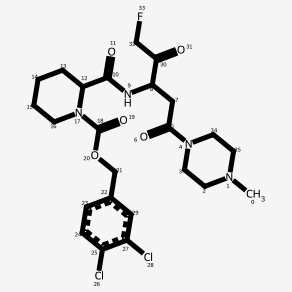 CN1CCN(C(=O)CC(NC(=O)C2CCCCN2C(=O)OCc2ccc(Cl)c(Cl)c2)C(=O)CF)CC1